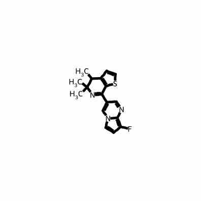 CC1c2ccsc2C(c2cnc3c(F)ccn3c2)=NC1(C)C